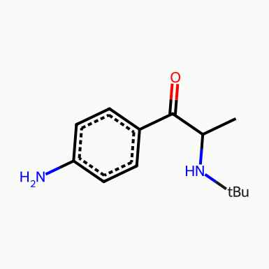 CC(NC(C)(C)C)C(=O)c1ccc(N)cc1